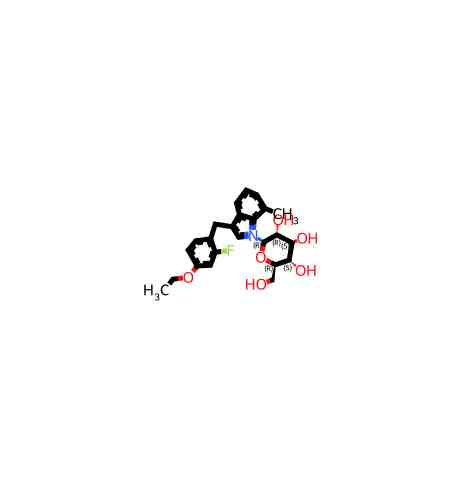 CCOc1ccc(Cc2cn([C@@H]3O[C@H](CO)[C@@H](O)[C@H](O)[C@H]3O)c3c(C)cccc23)c(F)c1